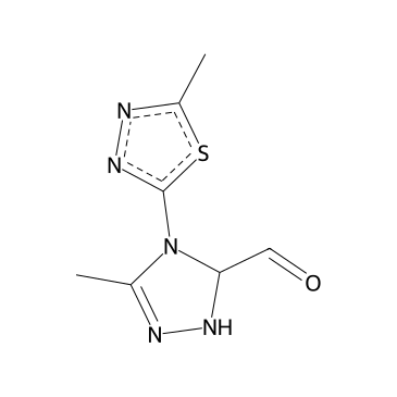 CC1=NNC(C=O)N1c1nnc(C)s1